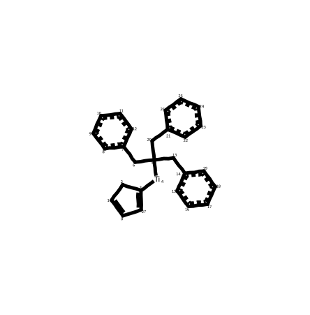 C1=CC[C]([Ti][C](Cc2ccccc2)(Cc2ccccc2)Cc2ccccc2)=C1